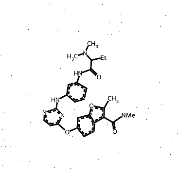 CCC(C(=O)Nc1cccc(Nc2nccc(Oc3ccc4c(C(=O)NC)c(C)oc4c3)n2)c1)N(C)C